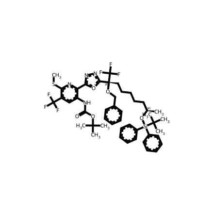 CSc1nc(-c2nnc([C@@](CCCCC[C@@H](C)O[Si](c3ccccc3)(c3ccccc3)C(C)(C)C)(OCc3ccccc3)C(F)(F)F)o2)c(NC(=O)OC(C)(C)C)cc1C(F)(F)F